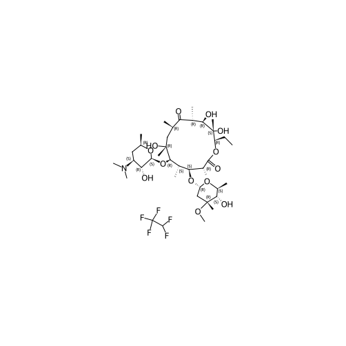 CC[C@H]1OC(=O)[C@H](C)[C@@H](O[C@H]2C[C@@](C)(OC)[C@@H](O)[C@H](C)O2)[C@H](C)[C@@H](O[C@@H]2O[C@H](C)C[C@H](N(C)C)[C@H]2O)[C@](C)(O)C[C@@H](C)C(=O)[C@H](C)[C@@H](O)[C@]1(C)O.FC(F)C(F)(F)F